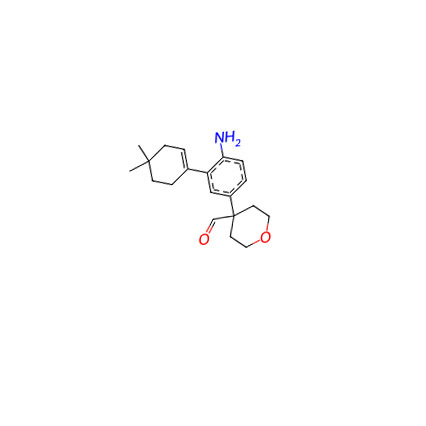 CC1(C)CC=C(c2cc(C3(C=O)CCOCC3)ccc2N)CC1